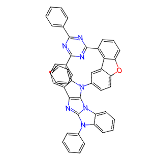 c1ccc(-c2nc(-c3ccccc3)nc(-c3cccc4oc5ccc(-n6c7ccccc7c7nc8n(-c9ccccc9)c9ccccc9n8c76)cc5c34)n2)cc1